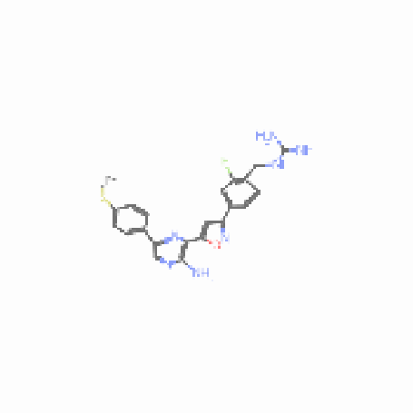 CC(C)Sc1ccc(-c2cnc(N)c(-c3cc(-c4ccc(CNC(=N)N)c(F)c4)no3)n2)cc1